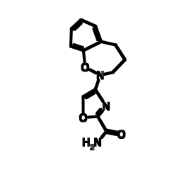 NC(=O)c1nc(N2CCCc3ccccc3O2)co1